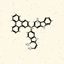 Cc1c(/C=C\N)oc2cc(N(C3=CNC4C(=C3)Oc3ccccc34)c3ccc4c5ccccc5c5ccccc5c4c3)ccc12